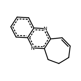 C1=Cc2nc3ccccc3nc2CCC1